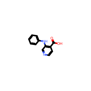 O=C(O)c1ccncc1Nc1ccccc1